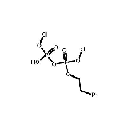 CC(C)CCOP(=O)(OCl)OP(=O)(O)OCl